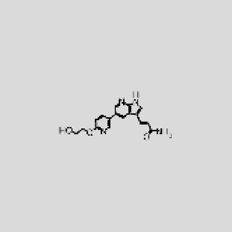 NC(=O)C=Cc1c[nH]c2ncc(-c3ccc(OCCO)nc3)cc12